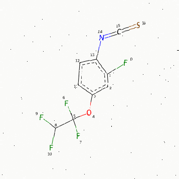 Fc1cc(OC(F)(F)C(F)F)ccc1N=C=S